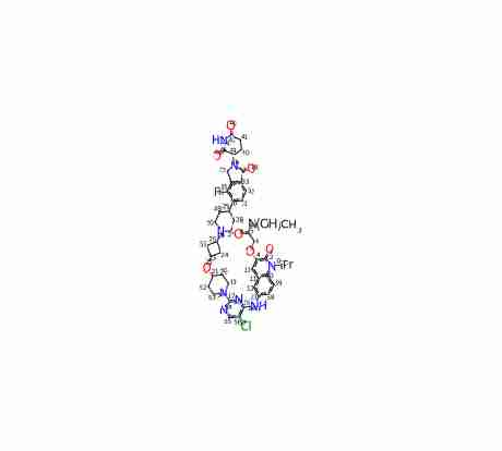 CC(C)n1c(=O)c(OCC(=O)N(C)O)cc2cc(Nc3nc(N4CCC(O[C@H]5C[C@H](N6CCC(c7ccc8c(c7F)CN(C7CCC(=O)NC7=O)C8=O)CC6)C5)CC4)ncc3Cl)ccc21